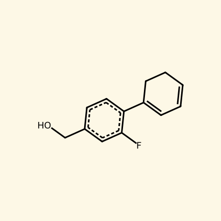 OCc1ccc(C2=CC=CCC2)c(F)c1